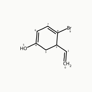 C=CC1CC(O)=CC=C1Br